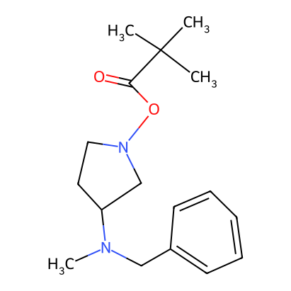 CN(Cc1ccccc1)C1CCN(OC(=O)C(C)(C)C)C1